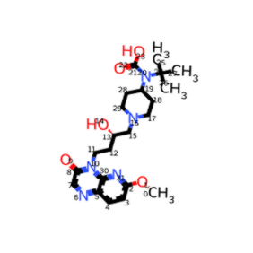 COc1ccc2ncc(=O)n(CC[C@H](O)CN3CCC(N(C(=O)O)C(C)(C)C)CC3)c2n1